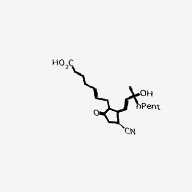 CCCCCC(C)(O)C=CC1C(CC=CCCCC(=O)O)C(=O)C[C@@H]1C#N